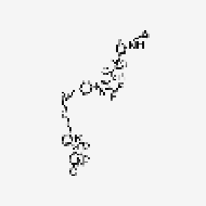 CN(CCOCCCc1cccc2c1n(C)c(=O)n2C1CCC(=O)NC1=O)CC[C@H]1CC[C@H](n2cc(NC(=O)c3coc(-c4ccnc(NCC5CC5)c4)n3)c(C(F)F)n2)CC1